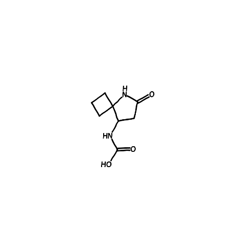 O=C(O)NC1CC(=O)NC12CCC2